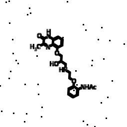 CC(=O)Nc1ccccc1OCCNCC(O)COc1cccc2[nH]c(=O)c(C)nc12